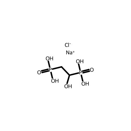 O=P(O)(O)CC(O)P(=O)(O)O.[Cl-].[Na+]